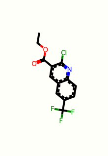 CCOC(=O)c1cc2cc(C(F)(F)F)ccc2nc1Cl